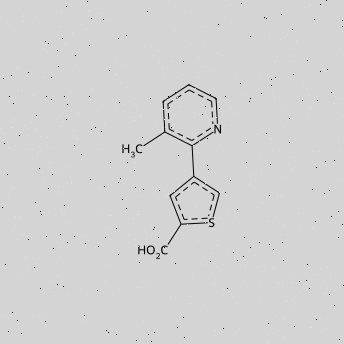 Cc1cccnc1-c1csc(C(=O)O)c1